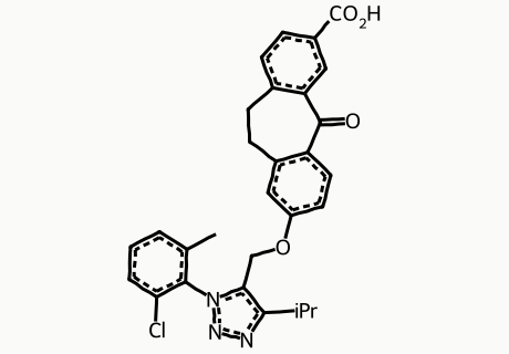 Cc1cccc(Cl)c1-n1nnc(C(C)C)c1COc1ccc2c(c1)CCc1ccc(C(=O)O)cc1C2=O